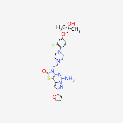 CC(C)(O)COc1ccc(N2CCN(CCn3c(=O)sc4c3nc(N)n3nc(-c5ccco5)cc43)CC2)c(F)c1